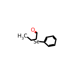 CCC(C=O)[Se]c1ccccc1